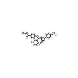 COC(=O)c1ccc(OC(c2oc(-c3ccc(C(F)(F)F)cc3)cc2C)C2CCCCC2)cc1